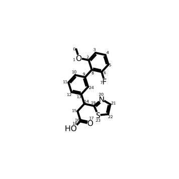 COc1cccc(F)c1-c1cccc(C(CC(=O)O)c2nccs2)c1